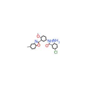 COc1ccc(NC(=O)c2cc(Cl)ccc2N)cc1-c1nc2cc(C)ccc2o1